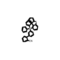 N#Cc1ccccc1-c1cccc([Si](c2ccccc2)(c2ccccc2)c2cccc3sc4ccccc4c23)c1